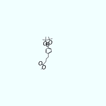 COC(=O)CCCc1ccc(B2OC(C)(C)C(C)(C)O2)cc1